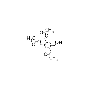 CC(=O)Cc1cc(COC(C)=O)c(COC(C)=O)cc1CO